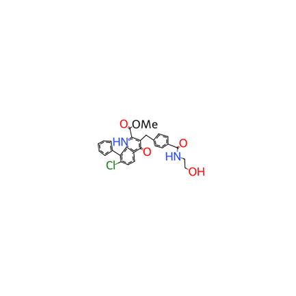 COC(=O)c1[nH]c2c(-c3ccccc3)c(Cl)ccc2c(=O)c1Cc1ccc(C(=O)NCCO)cc1